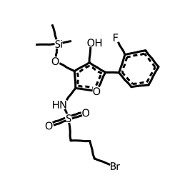 C[Si](C)(C)Oc1c(NS(=O)(=O)CCCBr)oc(-c2ccccc2F)c1O